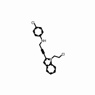 ClCCn1c(C#CCNc2ccc(Cl)cc2)cc2ccccc21